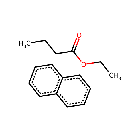 CCCC(=O)OCC.c1ccc2ccccc2c1